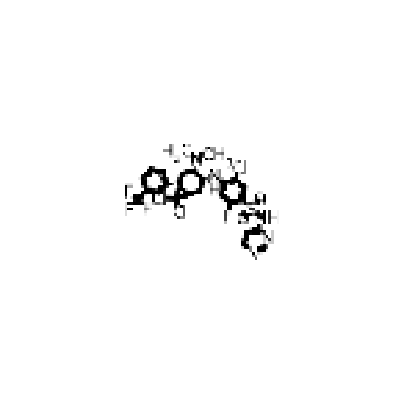 CN(C)[C@H]1C[C@@]2(c3cccc(C(F)(F)F)c3)C(C[C@@H]1Nc1cc(F)c(S(=O)(=O)Nc3ccncn3)cc1Cl)C2(Cl)Cl